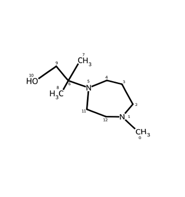 CN1CCCN(C(C)(C)CO)CC1